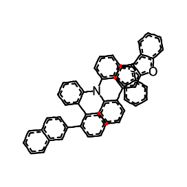 c1ccc(-c2ccccc2N(c2ccccc2-c2ccc3c(c2)oc2ccccc23)c2cccc3sc4ccccc4c23)c(-c2ccc3ccccc3c2)c1